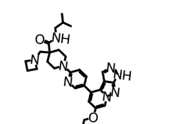 CCOc1cc(-c2ccc(N3CCC(CN4CCC4)(C(=O)NCC(C)C)CC3)nc2)c2c3cn[nH]c3nn2c1